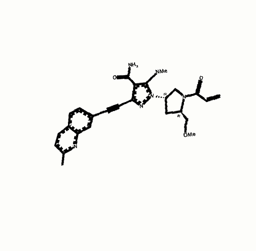 C=CC(=O)N1C[C@@H](n2nc(C#Cc3ccc4ccc(C)nc4c3)c(C(N)=O)c2NC)C[C@@H]1COC